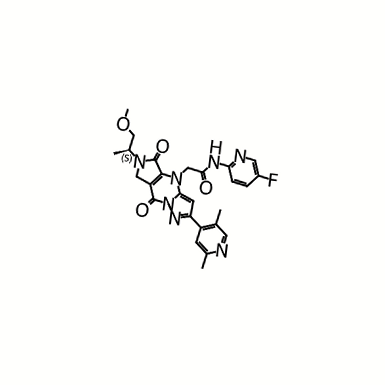 COC[C@H](C)N1Cc2c(n(CC(=O)Nc3ccc(F)cn3)c3cc(-c4cc(C)ncc4C)nn3c2=O)C1=O